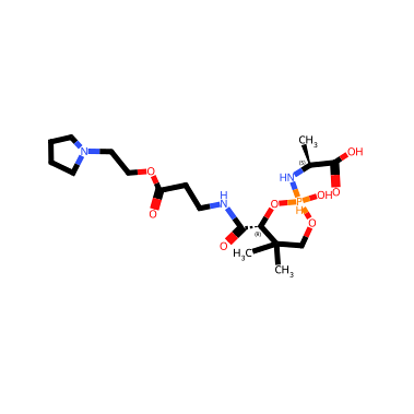 C[C@H](N[PH]1(O)OCC(C)(C)[C@H](C(=O)NCCC(=O)OCCN2CCCC2)O1)C(=O)O